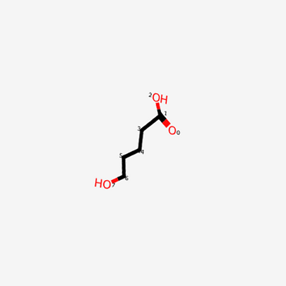 O=C(O)C[CH]CCO